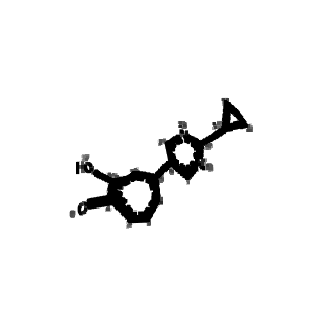 O=c1cccc(-c2cnc(C3CC3)nc2)cc1O